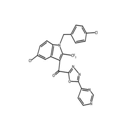 O=C(c1nnc(-c2ccncn2)o1)c1c(C(F)(F)F)n(Cc2ccc(Cl)cc2)c2ccc(Cl)cc12